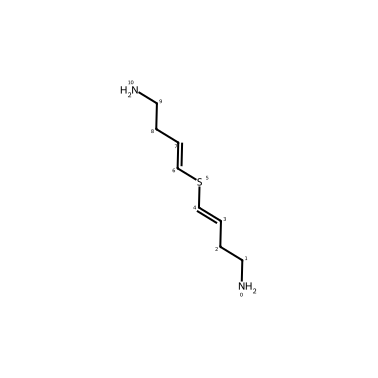 NCCC=CSC=CCCN